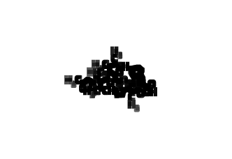 CCC(C)C(C(CC(=O)N1CCCC1C(OC)C(C)C(=O)NC(Cc1ccccc1)C(=O)O)OC)N(C)C(=O)C(NC(=O)CC(C)C)C(C)C